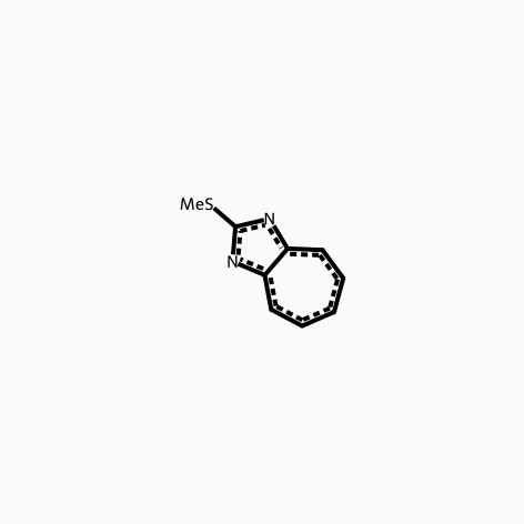 CSc1nc2cccccc-2n1